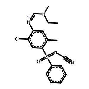 CCN(C)/C=N\c1cc(C)c(S(=O)(=NC#N)c2ccccc2)cc1Cl